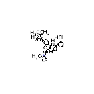 CN1CCS/C1=N\NC(=O)C(=O)C(NC(=O)C1CCCCC1)C1CCN(C(=O)OC(C)(C)C)CC1.Cl